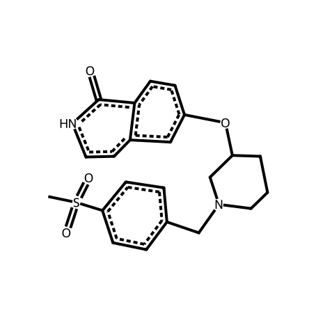 CS(=O)(=O)c1ccc(CN2CCCC(Oc3ccc4c(=O)[nH]ccc4c3)C2)cc1